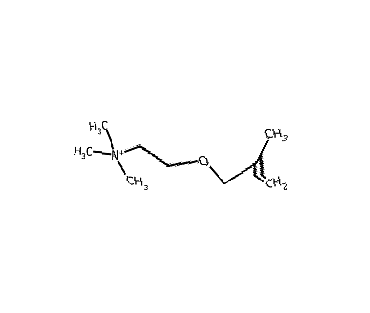 C=C(C)COCC[N+](C)(C)C